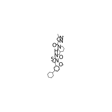 COc1ccc(C2CCCCC2)cc1-c1csc(NC(=O)C2CCCN(C(=O)c3cc(C)n(C)n3)C2)n1